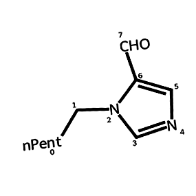 CCCCCCn1cncc1C=O